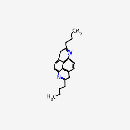 CCCCC1=Nc2ccc3c4c(ccc(c24)C1)N=C(CCCC)C3